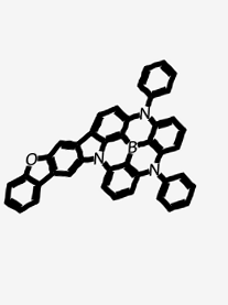 c1ccc(N2c3cccc4c3B3c5c2cccc5-n2c5cc6c(cc5c5ccc(c3c52)N4c2ccccc2)oc2ccccc26)cc1